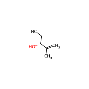 C=C(C)[C@H](O)CC#N